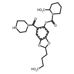 O=C(O)CCCC1Oc2cc(OC(=O)N3CCCCC3C(=O)O)c(C(=O)N3CCNCC3)cc2O1